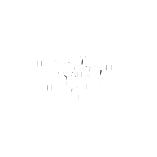 BC(=O)CNC(=O)[C@H](CCCC)NC(=O)[C@@H](C)C(C)C